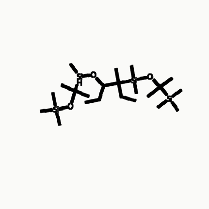 CCC(O[SiH](C)C(C)(C)O[Si](C)(C)C)C(C)(CC)[Si](C)(C)OC(C)(C)[Si](C)(C)C